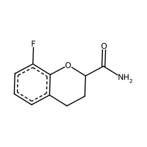 NC(=O)C1CCc2cccc(F)c2O1